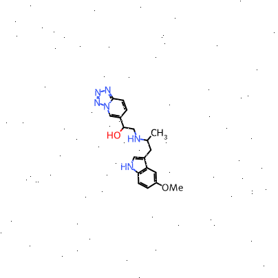 COc1ccc2[nH]cc(CC(C)NCC(O)c3ccc4nnnn4c3)c2c1